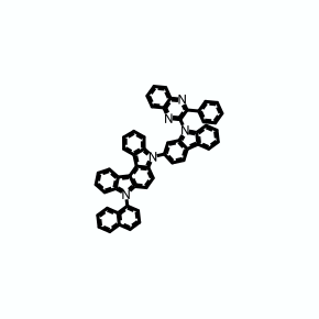 c1ccc(-c2nc3ccccc3nc2-n2c3ccccc3c3ccc(-n4c5ccccc5c5c6c7ccccc7n(-c7cccc8ccccc78)c6ccc54)cc32)cc1